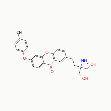 N#Cc1ccc(Oc2ccc3c(=O)c4cc(CCC(N)(CO)CO)ccc4oc3c2)cc1